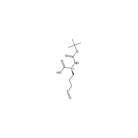 CC(C)(C)OC(=O)N[C@@H](CCC[S+]=O)C(=O)O